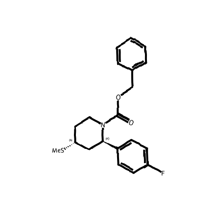 CS[C@@H]1CCN(C(=O)OCc2ccccc2)[C@@H](c2ccc(F)cc2)C1